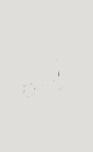 C=C[C@H](OCc1ccccc1)[C@H](O)/C=C\CCC(C)=O